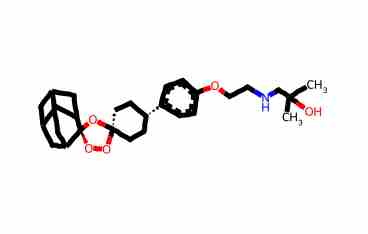 CC(C)(O)CNCCOc1ccc([C@H]2CC[C@]3(CC2)OO[C@]2(O3)C3CC4CC(C3)CC2C4)cc1